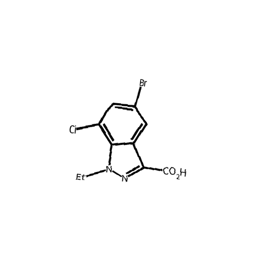 CCn1nc(C(=O)O)c2cc(Br)cc(Cl)c21